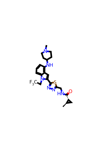 C[C@@H]1C[C@H]1C(=O)NCc1nnc(-c2cc3c(NC4CCN(C)CC4)cccc3n2CC(F)(F)F)s1